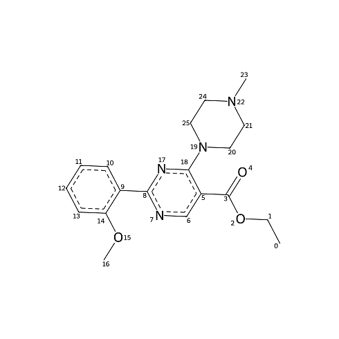 CCOC(=O)c1cnc(-c2ccccc2OC)nc1N1CCN(C)CC1